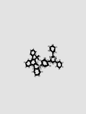 CC1(C)c2ccccc2-c2c1c1c(c3ccccc23)c2ccccc2n1-c1ccc(-c2cc(-c3ccccc3)nc(-c3ccccc3)n2)cc1